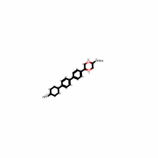 CCCCCCC1COC(c2ccc(-c3ccc(C4CCC(CCC)CC4)cc3)cc2)CO1